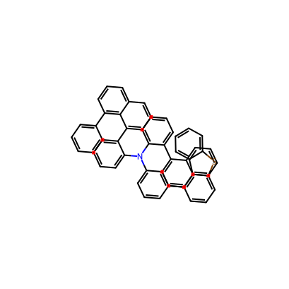 c1ccc(-c2cccc3cccc(-c4ccccc4N(c4cccc(-c5cccc6sc7ccccc7c56)c4)c4ccccc4-c4cccc5ccccc45)c23)cc1